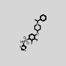 CC(c1ccccc1)N1CCC(Oc2ccc(S(=O)(=O)Nc3cscn3)c(F)c2F)CC1